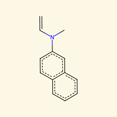 C=CN(C)c1ccc2ccccc2c1